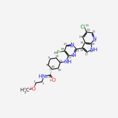 COCCNC(=O)[C@@H]1CCCC(Nc2nc(-c3c[nH]c4ncc(Cl)cc34)ncc2F)C1